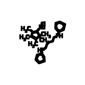 CC1=C(C)C(C)(C)[C]([Ru][Cl])=C1C.c1ccc(PCCCCPc2ccccc2)cc1